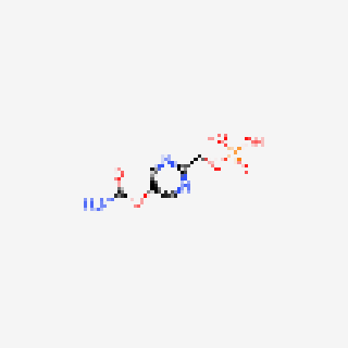 NC(=O)Oc1cnc(COP(=O)(O)O)nc1